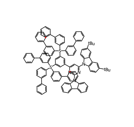 CC(C)(C)c1ccc2c(c1)c1cc(C(C)(C)C)ccc1n2-c1cc(-c2cc(S(c3cccc(-c4ccccc4)c3)(c3cccc(-c4ccccc4)c3)c3cccc(-c4ccccc4)c3)cc(S(c3cccc(-c4ccccc4)c3)(c3cccc(-c4ccccc4)c3)c3cccc(-c4ccccc4)c3)c2)nc(-n2c3ccccc3c3ccccc32)n1